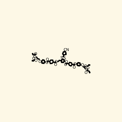 C=CC(=O)OCC(COc1ccc(OC(=O)C2CCC(C(=O)OCCc3ccc(OC(=O)C4CCC(C(=O)Oc5ccc(OCC(COC(=O)C=C)OC(=O)C=C)cc5)CC4)c4c3SC(c3ccc(C#N)cc3)S4)CC2)cc1)OC(=O)C=C